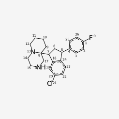 Fc1ccc(C2CC(C34CCCCN3CCNC4)c3cc(Cl)ccc32)cc1